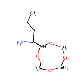 CCCC(N)[SiH]1O[SiH2]O[SiH2]O[SiH2]O1